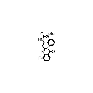 CC(C)(C)OC(=O)NCCc1nc2c(F)cccc2c(=O)n1-c1ccccc1